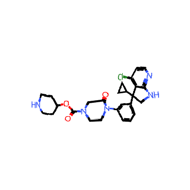 O=C(OC1CCNCC1)N1CCN(c2cccc(C3(C4CC4)CNc4nccc(Cl)c43)c2)C(=O)C1